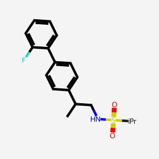 CC(CNS(=O)(=O)C(C)C)c1ccc(-c2ccccc2F)cc1